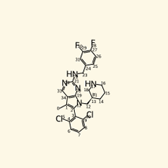 Cc1c(-c2c(Cl)cccc2Cl)n(C[C@@H]2CCCNC2)c2nc(NCc3ccc(F)c(F)c3)ncc12